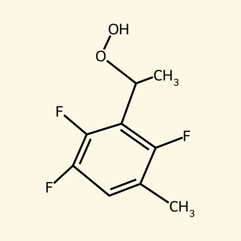 Cc1cc(F)c(F)c(C(C)OO)c1F